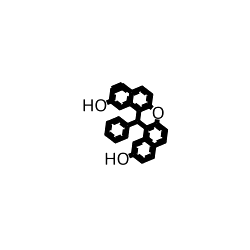 Oc1c#cc2ccc3c(c2c1)C(c1ccccc1)c1c(ccc2ccc(O)cc12)O3